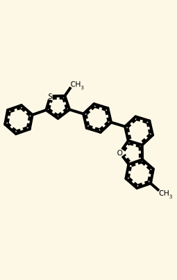 Cc1ccc2oc3c(-c4ccc(-c5cc(-c6ccccc6)sc5C)cc4)cccc3c2c1